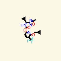 Cc1nc(C(NC(=O)Oc2ccc(C(F)(F)F)c(OCC3CC3)n2)C2CC2)no1